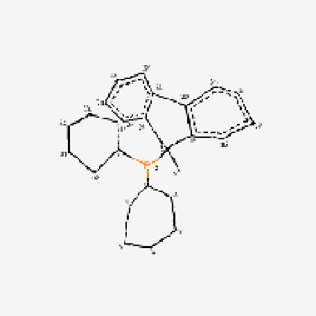 CC1(P(C2CCCCC2)C2CCCCC2)c2ccccc2-c2ccccc21